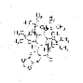 C[Si](C)(C)OC1C(O[Si](C)(C)C)C(O[Si](C)(C)C)[C@@H]2c3cc4c(cc3C(=O)N[C@H]2C1O[Si](C)(C)C)OCO4